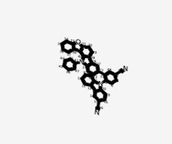 N#Cc1ccc(-n2c3ccccc3c3cc(C#N)ccc32)c(-c2ccc3c(c2)c2ccc4oc5ccccc5c4c2n3-c2ccccc2)c1